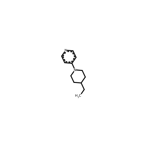 CCC1CCN(c2ccncc2)CC1